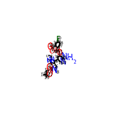 CCn1ncc(CN(C)C(=O)OC(C)(C)C)c1-c1cnc(N)c(O[C@H](C)c2ccc(F)cc2C(=O)O)c1